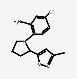 Cc1cc(C2CCCN2c2ccc(C(F)(F)F)cc2N)on1